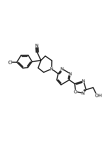 N#CC1(c2ccc(Cl)cc2)CCN(c2ccc(-c3nc(CO)no3)nn2)CC1